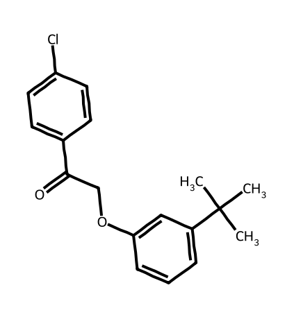 CC(C)(C)c1cccc(OCC(=O)c2ccc(Cl)cc2)c1